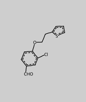 O=Cc1ccc(OCCc2cccs2)c(Cl)c1